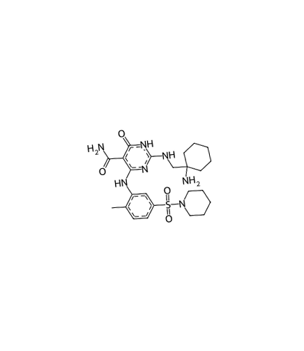 Cc1ccc(S(=O)(=O)N2CCCCC2)cc1Nc1nc(NCC2(N)CCCCC2)[nH]c(=O)c1C(N)=O